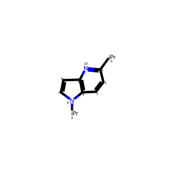 CC(C)c1ccc2c(ccn2C(C)C)n1